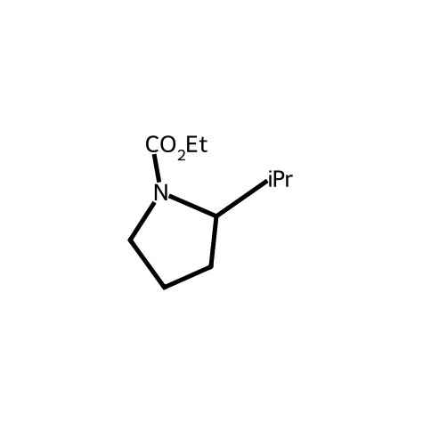 CCOC(=O)N1CCCC1C(C)C